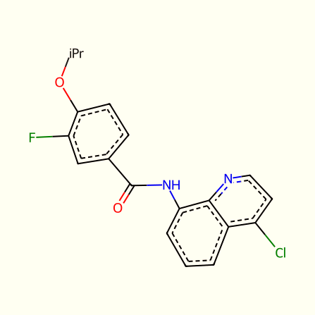 CC(C)Oc1ccc(C(=O)Nc2cccc3c(Cl)ccnc23)cc1F